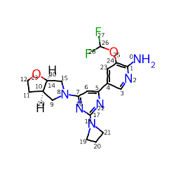 Nc1ncc(-c2cc(N3C[C@H]4CCO[C@H]4C3)nc(N3CCC3)n2)cc1OC(F)F